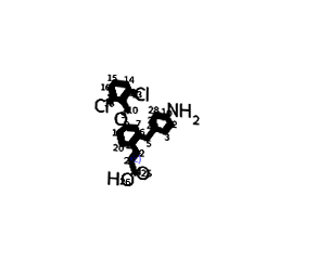 Nc1ccc(Cc2cc(OCc3c(Cl)cccc3Cl)ccc2/C=C/C(=O)O)cc1